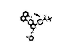 CN1CCC[C@@H]1COc1nc2c(c(N3CCN(C(=O)OC(C)(C)C)[C@@H](CC#N)C3)n1)CCN(c1cccc3cccc(Cl)c13)C2